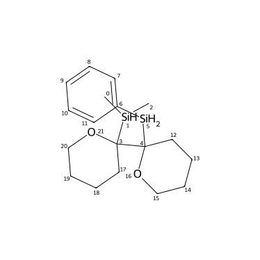 C[SiH](C)C1(C2([SiH2]c3ccccc3)CCCCO2)CCCCO1